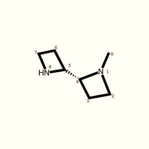 CN1CC[C@@H]1C1CCN1